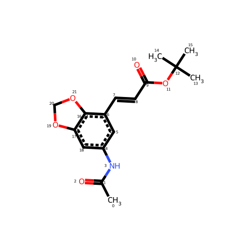 CC(=O)Nc1cc(/C=C/C(=O)OC(C)(C)C)c2c(c1)OCO2